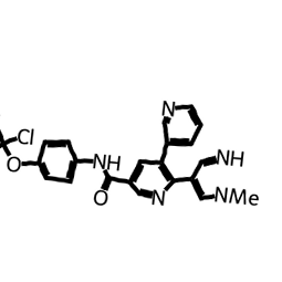 CN/C=C(\C=N)c1ncc(C(=O)Nc2ccc(OC(F)(F)Cl)cc2)cc1-c1cccnc1